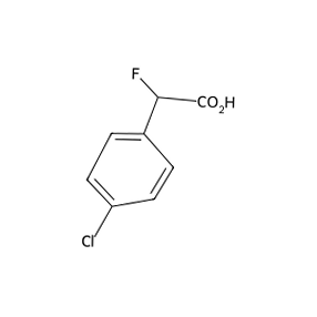 O=C(O)C(F)c1ccc(Cl)cc1